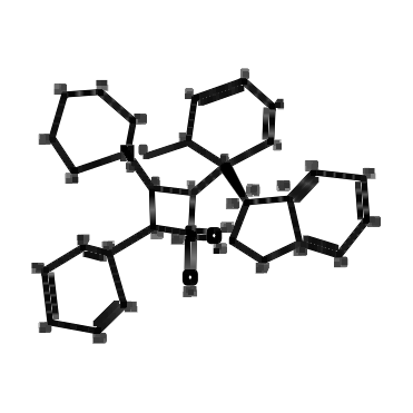 CC1C=CC=CC1(C1C(N2CCCCC2)C(c2ccccc2)S1(=O)=O)[C@@H]1CCc2ccccc21